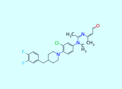 CC(=C/C=O)/N=C(/C)N(C)c1ccc(N2CCC(Cc3ccc(F)c(F)c3)CC2)c(Cl)c1